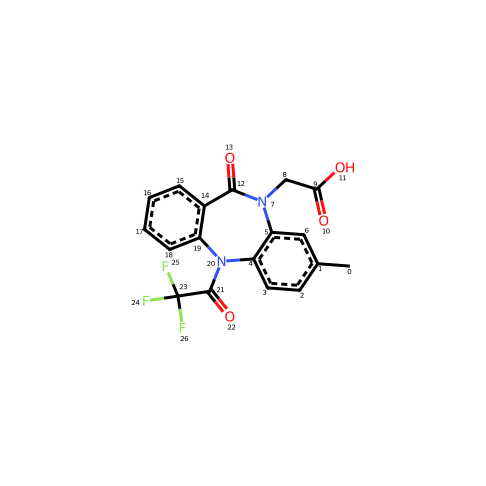 Cc1ccc2c(c1)N(CC(=O)O)C(=O)c1ccccc1N2C(=O)C(F)(F)F